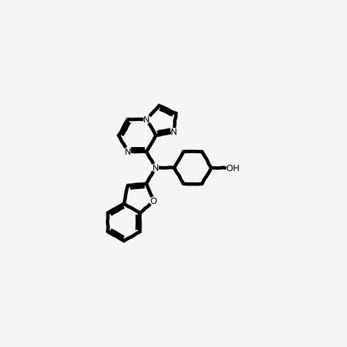 OC1CCC(N(c2cc3ccccc3o2)c2nccn3ccnc23)CC1